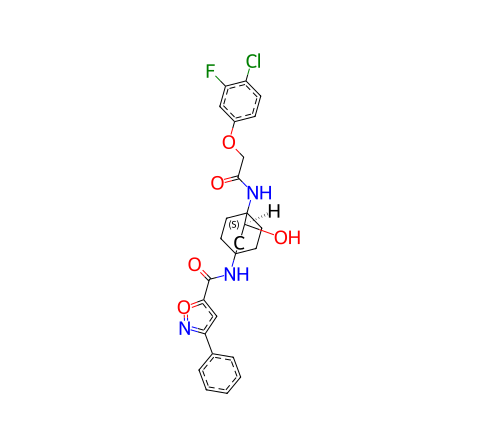 O=C(COc1ccc(Cl)c(F)c1)NC12CCC(NC(=O)c3cc(-c4ccccc4)no3)(CC1)C[C@@H]2O